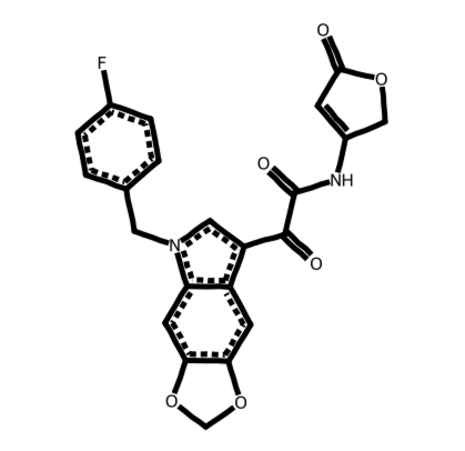 O=C1C=C(NC(=O)C(=O)c2cn(Cc3ccc(F)cc3)c3cc4c(cc23)OCO4)CO1